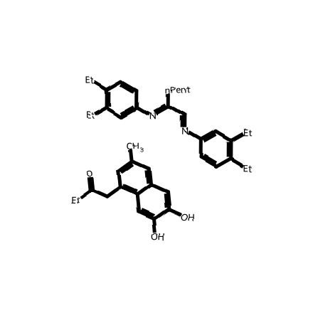 CCC(=O)Cc1cc(C)cc2cc(O)c(O)cc12.CCCCCC(C=Nc1ccc(CC)c(CC)c1)=Nc1ccc(CC)c(CC)c1